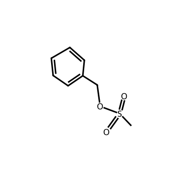 CS(=O)(=O)OCc1ccccc1